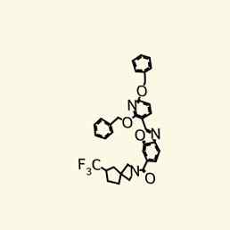 O=C(c1ccc2nc(-c3ccc(OCc4ccccc4)nc3OCc3ccccc3)oc2c1)N1CC2(CCC(C(F)(F)F)C2)C1